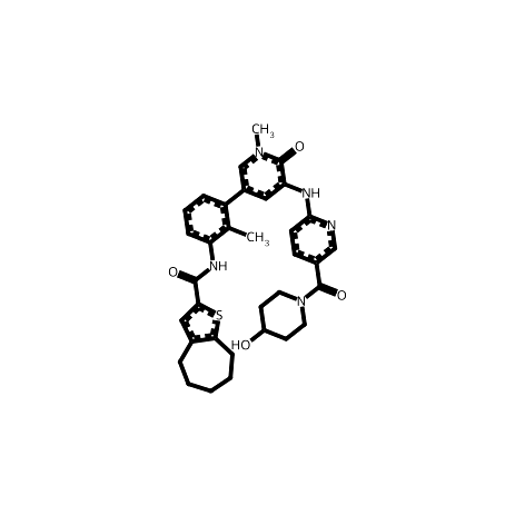 Cc1c(NC(=O)c2cc3c(s2)CCCCC3)cccc1-c1cc(Nc2ccc(C(=O)N3CCC(O)CC3)cn2)c(=O)n(C)c1